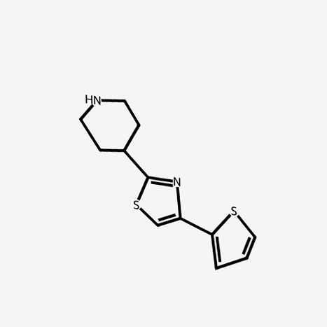 c1csc(-c2csc(C3CCNCC3)n2)c1